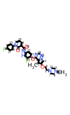 Cc1c(OCCN2CCN(C)CC2)cn2ncnc(Oc3ccc(NC(=O)c4cccn(-c5ccc(F)cc5)c4=O)cc3F)c12